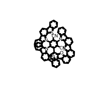 N#Cc1c(-c2cccc3c2oc2ccccc23)c(-n2c3ccccc3c3ccc4c5ccccc5sc4c32)c(-n2c3ccccc3c3ccc4c5ccccc5sc4c32)c(C#N)c1-n1c2ccccc2c2ccc3c4ccccc4sc3c21